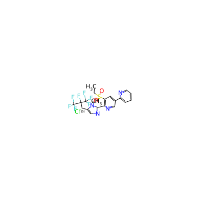 CCS(=O)(=O)c1cc(-c2ccccn2)cnc1-c1ncc([C@H](Cl)C(F)(C(F)(F)F)C(F)(F)F)n1C